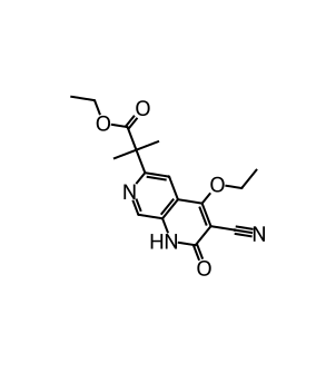 CCOC(=O)C(C)(C)c1cc2c(OCC)c(C#N)c(=O)[nH]c2cn1